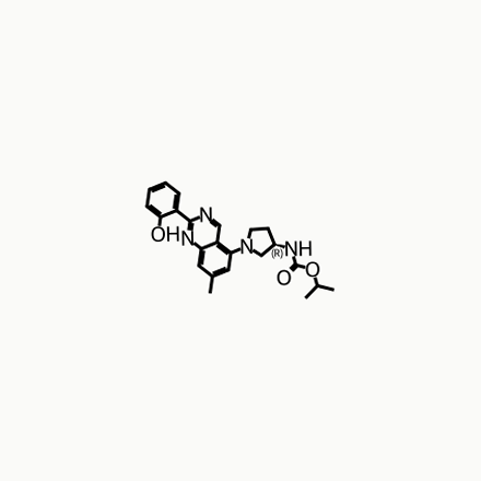 Cc1cc(N2CC[C@@H](NC(=O)OC(C)C)C2)c2cnc(-c3ccccc3O)nc2c1